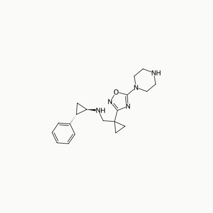 c1ccc([C@@H]2C[C@H]2NCC2(c3noc(N4CCNCC4)n3)CC2)cc1